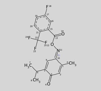 CC1=CC(=O)C(C(C)C)=C/C1=N\OC(=O)c1cc(F)ccc1C(F)(F)F